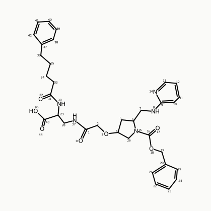 O=C(COC1CC(CNc2ccccn2)N(C(=O)OCc2ccccc2)C1)NCC(NC(=O)CCCCc1ccccc1)C(=O)O